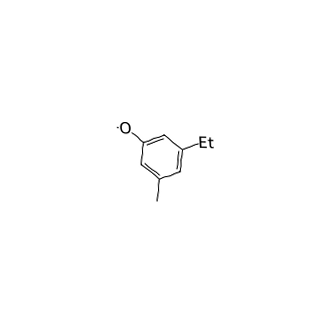 CCc1cc(C)cc([O])c1